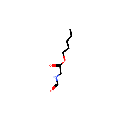 CCCCCOC(=O)CNC=O